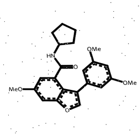 COc1cc(OC)cc(-c2coc3cc(OC)cc(C(=O)NC4CCCC4)c23)c1